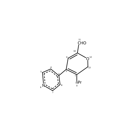 CCCC1=C(c2ccncc2)C=C(C=O)OC1